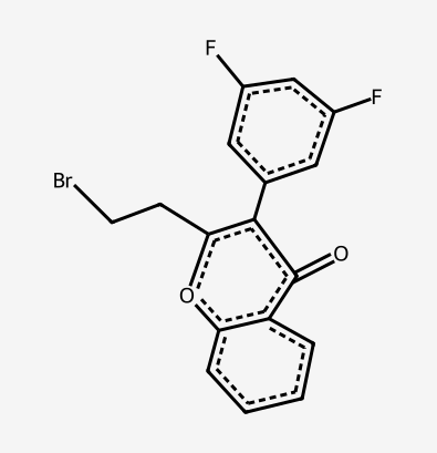 O=c1c(-c2cc(F)cc(F)c2)c(CCBr)oc2ccccc12